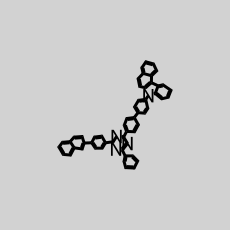 c1ccc(-c2nc(-c3ccc(-c4ccc(-n5c6ccccc6c6c7ccccc7ccc65)cc4)cc3)nc(-c3ccc(-c4ccc5ccccc5c4)cc3)n2)cc1